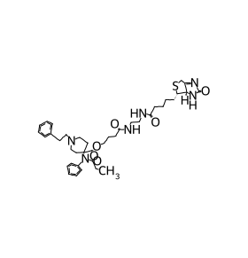 CCC(=O)N(c1ccccc1)C1(C(=O)OCCCC(=O)NCCNC(=O)CCCC[C@@H]2SCC3=NC(=O)N[C@@H]32)CCN(CCc2ccccc2)CC1